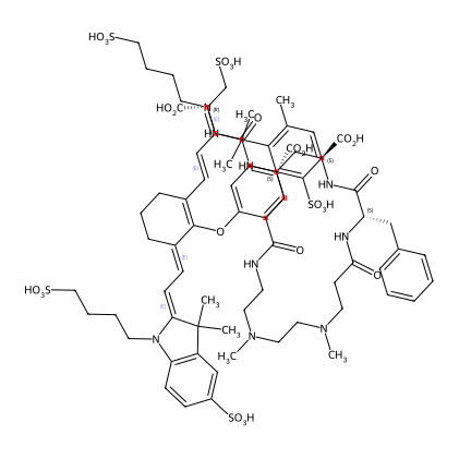 Cc1ccc(S(=O)(=O)O)cc1C(C)(C)C(/C=C/C1=C(Oc2ccc(C[C@H](NC(=O)[C@H](Cc3ccccc3)NC(=O)CCN(C)CCN(C)CCNC(=O)CC[C@H](NC(=O)N[C@@H](CS(=O)(=O)O)C(=O)O)C(=O)O)C(=O)O)cc2)C(=C/C=C2/N(CCCCS(=O)(=O)O)c3ccc(S(=O)(=O)O)cc3C2(C)C)/CCC1)=N/CCCCS(=O)(=O)O